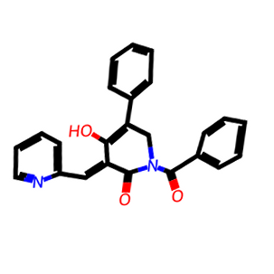 O=C1/C(=C/c2ccccn2)C(O)=C(c2ccccc2)CN1C(=O)c1ccccc1